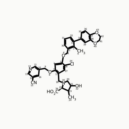 Cc1c(COc2cc(OCc3cncc(C#N)c3)c(CN3CC(O)C(C)[C@H]3C(=O)O)cc2Cl)cccc1-c1ccc2c(c1)OCCO2